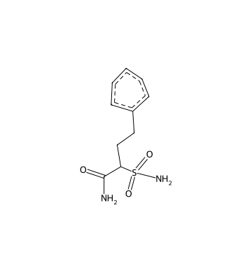 NC(=O)C(CCc1ccccc1)S(N)(=O)=O